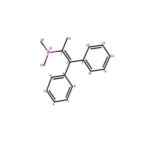 CC(=C(c1ccccc1)c1ccccc1)P(C)C